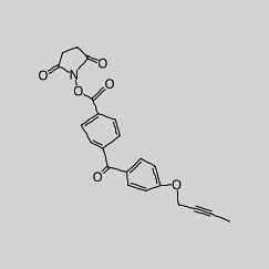 CC#CCOc1ccc(C(=O)c2ccc(C(=O)ON3C(=O)CCC3=O)cc2)cc1